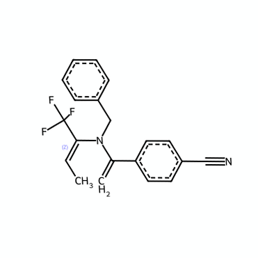 C=C(c1ccc(C#N)cc1)N(Cc1ccccc1)/C(=C\C)C(F)(F)F